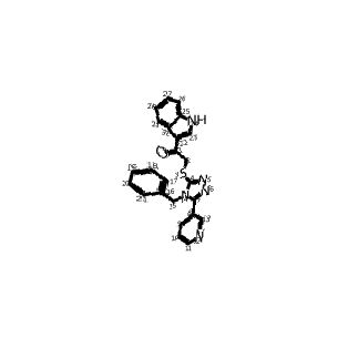 O=C(CSc1nnc(-c2cccnc2)n1Cc1ccccc1)c1c[nH]c2ccccc12